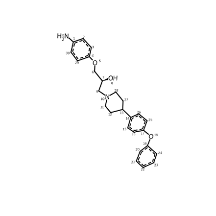 Nc1ccc(OC[C@@H](O)CN2CCC(c3ccc(Oc4ccccc4)cc3)CC2)cc1